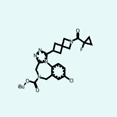 CC[C@H](C)OC(=O)N1Cc2cc(Cl)ccc2-n2c(nnc2C2CC3(C2)CN(C(=O)C2(F)CC2)C3)C1